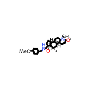 COc1ccc(CNC(=O)C2CC[C@H]3[C@@H]4CCC5N(C)C(=O)C=C[C@]5(C)[C@@H]4CC[C@]23C)cc1